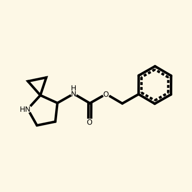 O=C(NC1CCNC12CC2)OCc1ccccc1